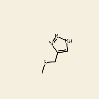 ISCc1c[nH]nn1